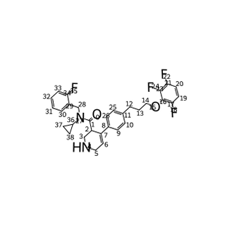 O=C(C1CNCC=C1c1ccc(CCCOc2c(F)ccc(F)c2F)cc1)N(Cc1ccccc1F)C1CC1